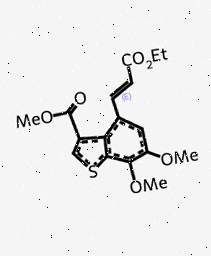 CCOC(=O)/C=C/c1cc(OC)c(OC)c2scc(C(=O)OC)c12